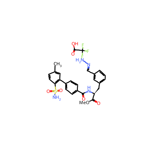 COC(=O)[C@H](Cc1cccc(C=NN)c1)NC(=O)c1ccc(-c2cc(C)ccc2S(N)(=O)=O)cc1.O=C(O)C(F)(F)F